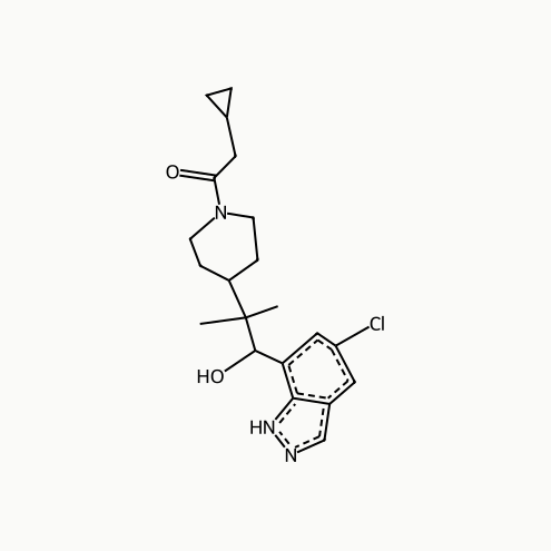 CC(C)(C1CCN(C(=O)CC2CC2)CC1)C(O)c1cc(Cl)cc2cn[nH]c12